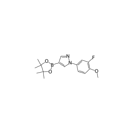 COc1ccc(-n2cc(B3OC(C)(C)C(C)(C)O3)cn2)cc1F